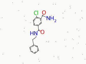 NC(=O)c1cc(C(=O)NCCc2ccccc2)ccc1Cl